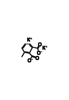 Cc1cccc(C(=O)[O-])c1C(=O)[O-].[K+].[K+]